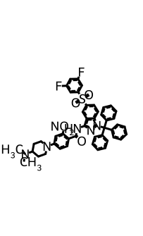 CN(C)C1CCN(c2ccc(C(=O)Nc3nn(C(c4ccccc4)(c4ccccc4)c4ccccc4)c4ccc(S(=O)(=O)c5cc(F)cc(F)c5)cc34)c([N+](=O)[O-])c2)CC1